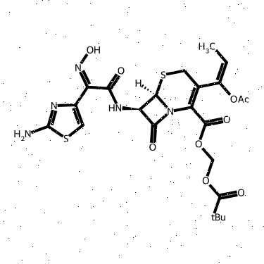 C/C=C(/OC(C)=O)C1=C(C(=O)OCOC(=O)C(C)(C)C)N2C(=O)[C@@H](NC(=O)/C(=N\O)c3csc(N)n3)[C@H]2SC1